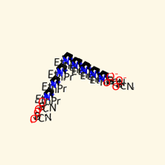 CCC[N+]1(CC)CCCC1.CCC[N+]1(CC)CCCC1.CCC[N+]1(CC)CCCC1.CCC[N+]1(CC)CCCC1.CCC[N+]1(CC)CCCC1.CCC[N+]1(CC)CCCC1.CCC[N+]1(CC)CCCC1.CCC[N+]1(CC)CCCC1.N#CB([O-])[O-].N#CB([O-])[O-].N#CB([O-])[O-].N#CB([O-])[O-]